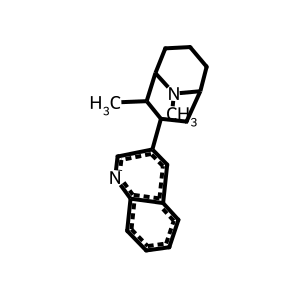 CC1C(c2cnc3ccccc3c2)CC2CCCC1N2C